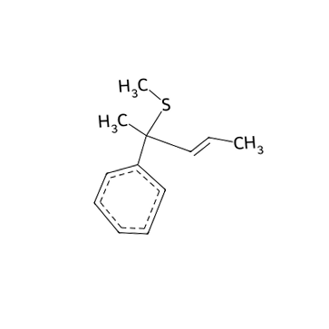 CC=CC(C)(SC)c1ccccc1